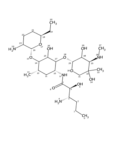 CCC[C@H](N)[C@H](O)C(=O)N[C@@H]1C[C@H](C)C(O[C@H]2O[C@H](CC)CCC2N)C(O)C1O[C@H]1OCC(C)(O)[C@H](NC)C1O